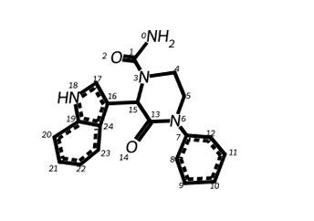 NC(=O)N1CCN(c2ccccc2)C(=O)C1c1c[nH]c2ccccc12